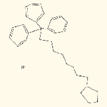 [Br-].c1ccc([P+](CCCCCCCCC2CCCC2)(c2ccccc2)c2ccccc2)cc1